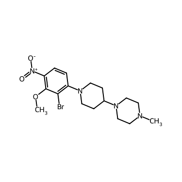 COc1c([N+](=O)[O-])ccc(N2CCC(N3CCN(C)CC3)CC2)c1Br